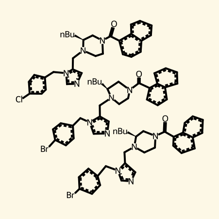 CCCC[C@H]1CN(C(=O)c2cccc3ccccc23)CCN1Cc1cncn1Cc1ccc(Br)cc1.CCCC[C@H]1CN(C(=O)c2cccc3ccccc23)CCN1Cc1cncn1Cc1ccc(Br)cc1.CCCC[C@H]1CN(C(=O)c2cccc3ccccc23)CCN1Cc1cncn1Cc1ccc(Cl)cc1